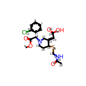 COC(=O)[C@H](c1ccccc1Cl)N1CCC(SCNC(C)=O)/C(=C/C(=O)O)C1